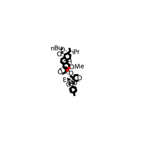 CCCCOC(=O)[C@@H]1[C@@](C)([C@H](C)C(C)C)CC[C@]2(C)[C@H]3CC[C@@H]4[C@@]5(COC[C@]4(C)[C@@H](OCC4(N(CC)S(=O)(=O)c6ccc(C)cc6)CCOCC4)[C@H](OC)C5)C3=CC[C@@]12C